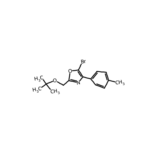 Cc1ccc(-c2nc(COC(C)(C)C)oc2Br)cc1